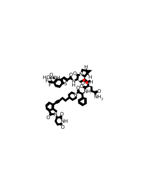 CCCC[C@H](NC(=O)c1cc2cc(C(F)(F)P(=O)(O)O)ccc2s1)C(=O)N1C[C@@H]2C[C@@H]2[C@H]1C(=O)N[C@@H](CCC(N)=O)C(=O)N[C@H](C(=O)N1CCC(CCC#Cc2cccc3c2CN(C2CCC(=O)NC2=O)C3=O)CC1)c1ccccc1